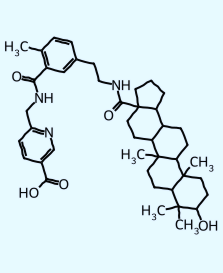 Cc1ccc(CCNC(=O)C23CCCC2C2CCC4C(C)(CCC5C(C)(C)C(O)CCC54C)C2CC3)cc1C(=O)NCc1ccc(C(=O)O)cn1